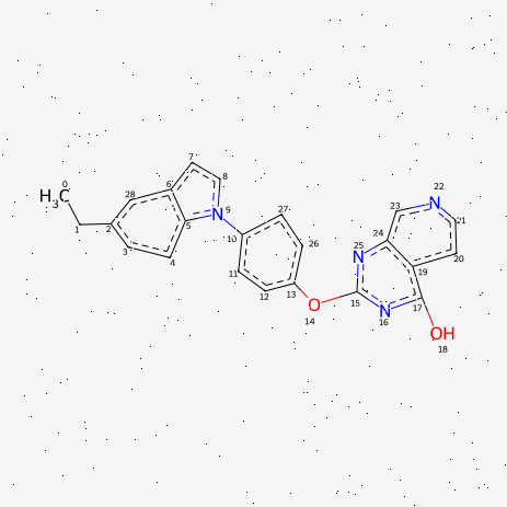 CCc1ccc2c(ccn2-c2ccc(Oc3nc(O)c4ccncc4n3)cc2)c1